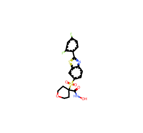 O=C(NO)C1(S(=O)(=O)c2ccc3nc(-c4ccc(F)cc4F)sc3c2)CCOCC1